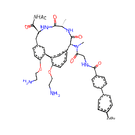 CCCCc1ccc(-c2ccc(C(=O)NCC(=O)N(C)[C@@H]3C(=O)N[C@@H](C)C(=O)N[C@H](C(=O)NC(C)=O)Cc4ccc(OCCN)c(c4)-c4cc3ccc4OCCN)cc2)cc1